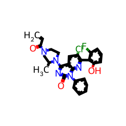 C=CC(=O)N1CCN(c2nc(=O)n(-c3ccccc3)c3nc(-c4c(O)cccc4F)c(Cl)cc23)C(C)C1